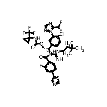 CC(C)(C)CCNC(=N)N(C(=O)c1ccc(-c2cncs2)cc1F)[C@H](COC(=O)NC1(C(F)(F)F)CC1)c1ccc(Cl)c(-n2ncnc2C(F)F)c1